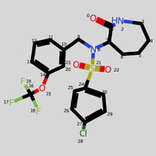 O=C1NCCCCC1N(Cc1cccc(OC(F)(F)F)c1)S(=O)(=O)c1ccc(Cl)cc1